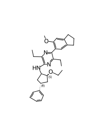 CCO[C@H]1C[C@H](c2ccccc2)CC1Nc1nc(CC)c(-c2cc3c(cc2OC)CCC3)nc1CC